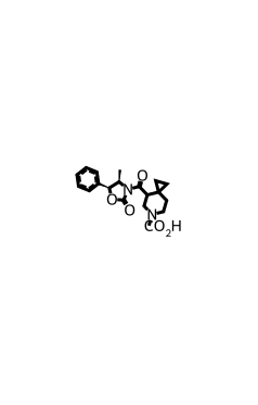 C[C@@H]1[C@H](c2ccccc2)OC(=O)N1C(=O)C1CN(C(=O)O)CCC12CC2